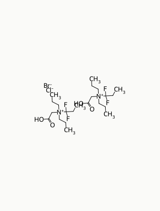 CCC[N+](CCC)(CC(=O)O)C(F)(F)CC.CCC[N+](CCC)(CC(=O)O)C(F)(F)CC.[Br-].[Cl-]